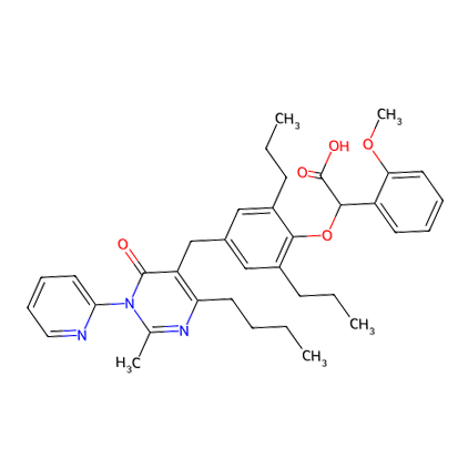 CCCCc1nc(C)n(-c2ccccn2)c(=O)c1Cc1cc(CCC)c(OC(C(=O)O)c2ccccc2OC)c(CCC)c1